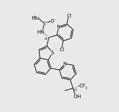 CC(C)(C)[S+]([O-])N[C@@H](c1cc2cccc(-c3cc([C@](C)(O)C(F)(F)F)ccn3)c2s1)c1nc(Cl)ccc1Cl